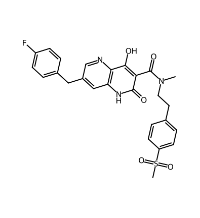 CN(CCc1ccc(S(C)(=O)=O)cc1)C(=O)c1c(O)c2ncc(Cc3ccc(F)cc3)cc2[nH]c1=O